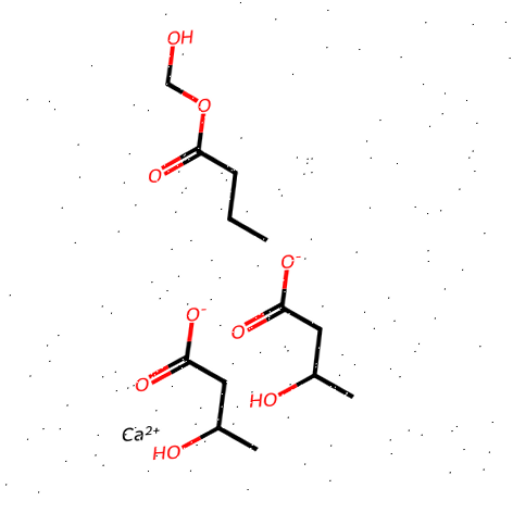 CC(O)CC(=O)[O-].CC(O)CC(=O)[O-].CCCC(=O)OCO.[Ca+2]